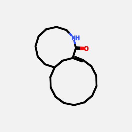 O=C1NCCCCCCCC2CCCCCCCCCC/C=C/1C2